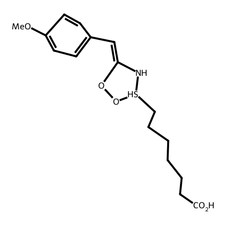 COc1ccc(/C=C2/N[SH](CCCCCCC(=O)O)OO2)cc1